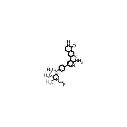 C[C@H]1[C@@H](C)N(CCF)C[C@H]1N(C)c1ccc(-c2cnc(N)c(-c3cc4c(cc3F)C(=O)NCC4)c2)cc1